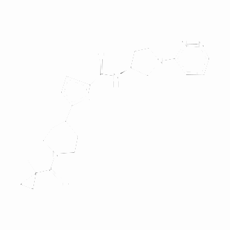 CC1(C(=O)N2CCC(c3ccc(C(=O)N[C@H]4CCN(c5cccnn5)C4)s3)CC2)CC1